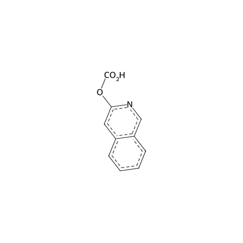 O=C(O)Oc1cc2ccccc2cn1